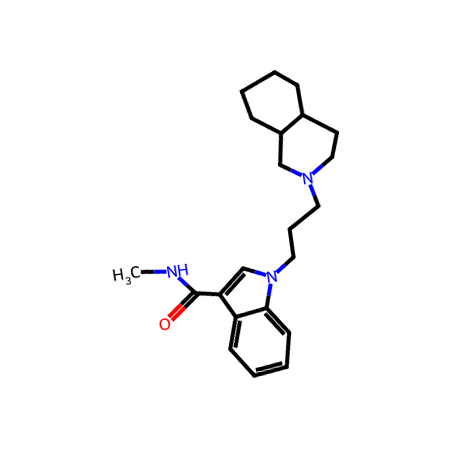 CNC(=O)c1cn(CCCN2CCC3CCCCC3C2)c2ccccc12